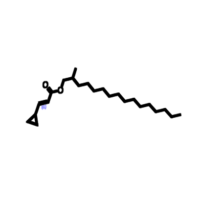 CCCCCCCCCCCCCCC(C)COC(=O)/C=C/C1CC1